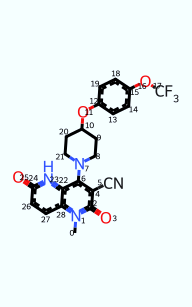 Cn1c(=O)c(C#N)c(N2CCC(Oc3ccc(OC(F)(F)F)cc3)CC2)c2[nH]c(=O)ccc21